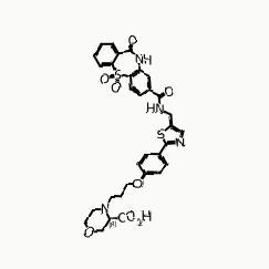 O=C(NCc1cnc(-c2ccc(OCCCN3CCOC[C@@H]3C(=O)O)cc2)s1)c1ccc2c(c1)NC(=O)c1ccccc1S2(=O)=O